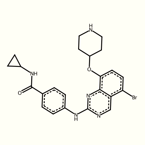 O=C(NC1CC1)c1ccc(Nc2ncc3c(Br)ccc(OC4CCNCC4)c3n2)cc1